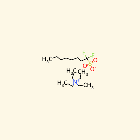 CCCCCCCC(F)(F)S(=O)(=O)[O-].CC[N+](CC)(CC)CC